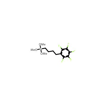 CO[Si](CCCCc1c(F)c(F)c(F)c(F)c1F)(OC)OC